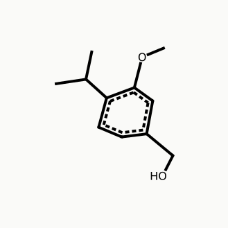 COc1cc(CO)ccc1C(C)C